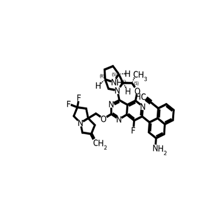 C#Cc1cccc2cc(N)cc(-c3nc4c5c(nc(OCC67CC(=C)CN6CC(F)(F)C7)nc5c3F)N3C[C@H]5CC[C@H](N5)[C@H]3[C@H](C)O4)c12